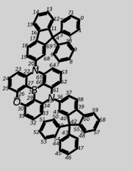 c1ccc(C2(c3ccccc3)c3ccccc3-c3ccc(N4c5cccc6c5B5c7c(cccc7N(c7ccc8c(c7)C(c7ccccc7)(c7ccccc7)c7ccccc7-8)c7cccc4c75)O6)cc32)cc1